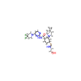 O=C(Nc1nccc(N2CCC(F)(F)CC2)n1)c1ccc(SNCCO)cc1N1CCC2(CC1)CC2